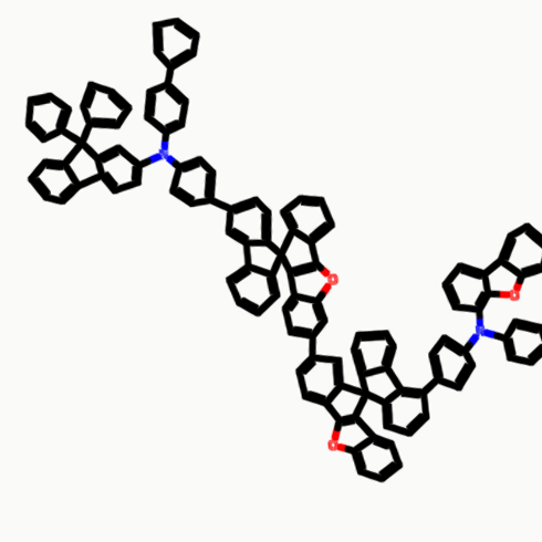 c1ccc(-c2ccc(N(c3ccc(-c4ccc5c(c4)-c4ccccc4C54c5ccccc5-c5oc6cc(-c7ccc8c(c7)C7(c9ccccc9-c9c(-c%10ccc(N(c%11ccccc%11)c%11cccc%12c%11oc%11ccccc%11%12)cc%10)cccc97)c7c-8oc8ccccc78)ccc6c54)cc3)c3ccc4c(c3)C(c3ccccc3)(c3ccccc3)c3ccccc3-4)cc2)cc1